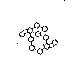 c1ccc(-c2cccc(-c3nc(-c4ccc(-c5cccc(-c6cccc(-c7nc(-c8cccc(-c9ccccc9)c8)c8c(n7)sc7ccccc78)c6)c5)cc4)c4c(n3)sc3ccccc34)c2)cc1